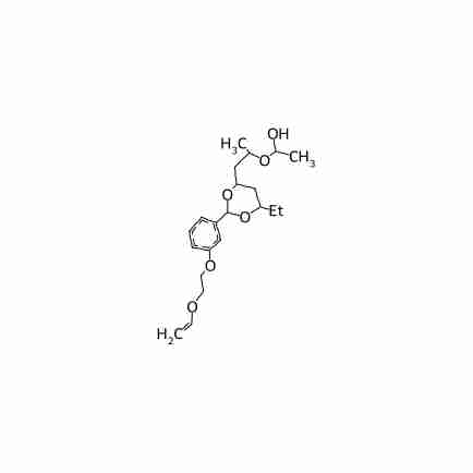 C=COCCOc1cccc(C2OC(CC)CC(CC(C)OC(C)O)O2)c1